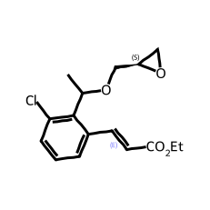 CCOC(=O)/C=C/c1cccc(Cl)c1C(C)OC[C@H]1CO1